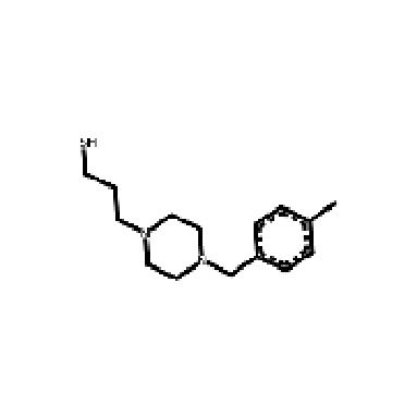 Cc1ccc(CN2CCN(CCCS)CC2)cc1